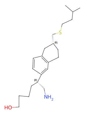 CC(C)CCSC[C@@H]1CCc2cc([C@H](CN)CCCCO)ccc2C1